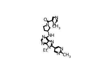 CCn1c(-c2cnc(C)nc2)nc2c(N[C@H]3CCN(C(=O)c4cncn4C)C3)ncnc21